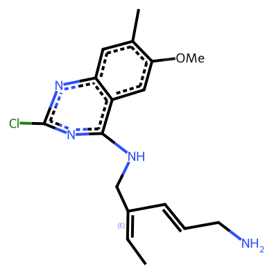 C/C=C(\C=CCN)CNc1nc(Cl)nc2cc(C)c(OC)cc12